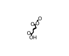 O=COC(=O)/C=C/CC(=O)O